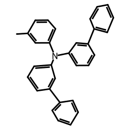 Cc1cccc(N(c2cccc(-c3ccccc3)c2)c2cccc(-c3ccccc3)c2)c1